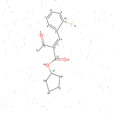 CC(=O)/C(=C\c1ccccc1F)C(=O)OC1CCCC1